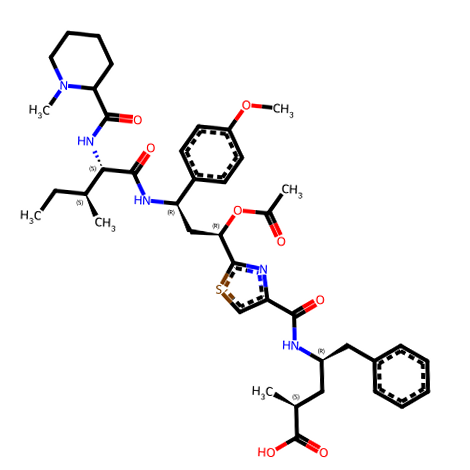 CC[C@H](C)[C@H](NC(=O)C1CCCCN1C)C(=O)N[C@H](C[C@@H](OC(C)=O)c1nc(C(=O)N[C@@H](Cc2ccccc2)C[C@H](C)C(=O)O)cs1)c1ccc(OC)cc1